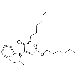 CCCCCCOC(=O)C=C(C(=O)OCCCCCC)N1c2ccccc2CC1C